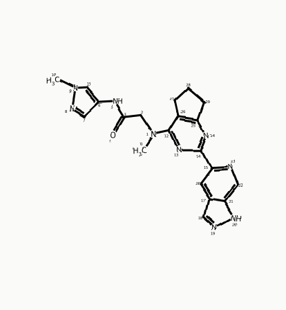 CN(CC(=O)Nc1cnn(C)c1)c1nc(-c2cc3cn[nH]c3cn2)nc2c1CCC2